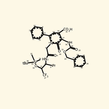 CC(C)C(NC(=O)Cn1c(-c2ccccc2)cc(C(=O)O)c(NC(=O)OCc2ccccc2)c1=O)C(O[Si](C)(C)C(C)(C)C)C(F)(F)F